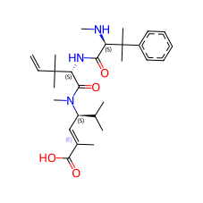 C=CC(C)(C)[C@H](NC(=O)[C@@H](NC)C(C)(C)c1ccccc1)C(=O)N(C)[C@H](/C=C(\C)C(=O)O)C(C)C